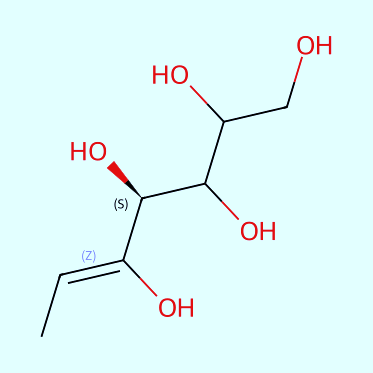 C/C=C(\O)[C@@H](O)C(O)C(O)CO